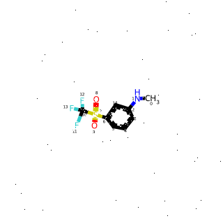 CNc1cccc(S(=O)(=O)C(F)(F)F)c1